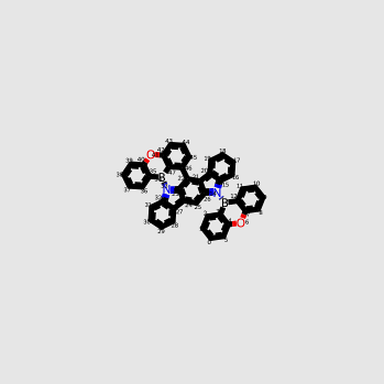 c1ccc2c(c1)Oc1ccccc1B2n1c2ccccc2c2c3c4c(cc21)c1ccccc1n4B1c2ccccc2Oc2cccc-3c21